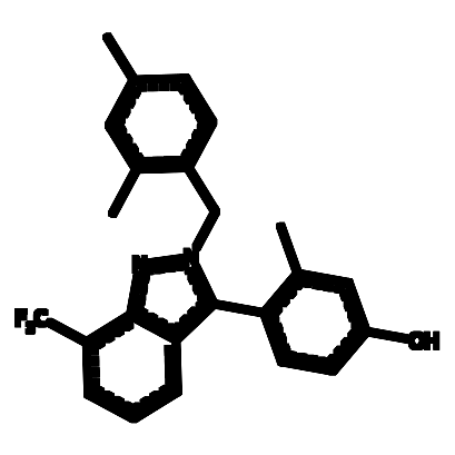 Cc1ccc(Cn2nc3c(C(F)(F)F)cccc3c2-c2ccc(O)cc2C)c(C)c1